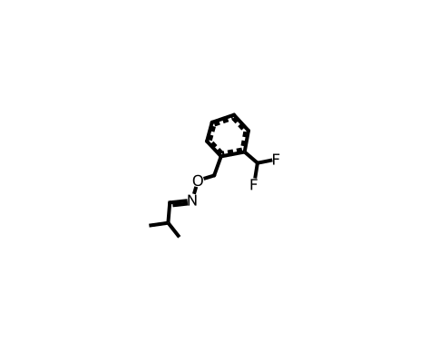 CC(C)C=NOCc1ccccc1C(F)F